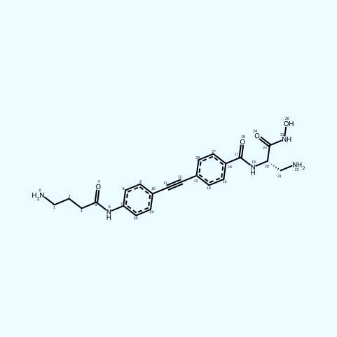 NCCCC(=O)Nc1ccc(C#Cc2ccc(C(=O)N[C@@H](CN)C(=O)NO)cc2)cc1